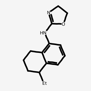 CCC1CCCc2c(NC3=NCCO3)cccc21